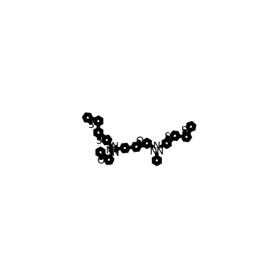 c1ccc(-c2nc(-c3ccc4c(c3)sc3ccc(-c5cccc6c5sc5ccccc56)cc34)nc(-c3ccc4oc5cc(-c6ccc(-c7nc(-c8ccc9c(c8)sc8ccc(-c%10cccc%11c%10sc%10ccccc%10%11)cc89)nc(-c8cccc9oc%10ccccc%10c89)n7)cc6)ccc5c4c3)n2)cc1